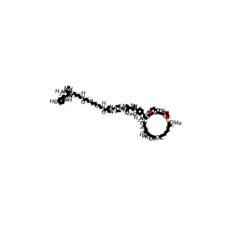 CO[C@H]1C[C@@H]2CC[C@@H](C)[C@@](O)(O2)C(=O)C(=O)N2CCCC[C@H]2C(=O)O[C@H]([C@H](N)C[C@@H]2CC[C@H](n3cc(-c4cnc(N5CCN(c6ncc(C(=O)NCCOCCOCCC(=O)NCCCCn7nc(-c8cc9cc(O)ccc9[nH]8)c8c(N)ncnc87)cn6)CC5)nc4)nn3)[C@H](OC)C2)CC(=O)[C@H](C)/C=C(\C)[C@@H](O)[C@@H](O)C(=O)[C@H](C)C[C@H](C)/C=C/C=C/C=C/1C